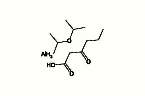 CC(C)OC(C)C.CCCC(=O)CC(=O)O.[AlH3]